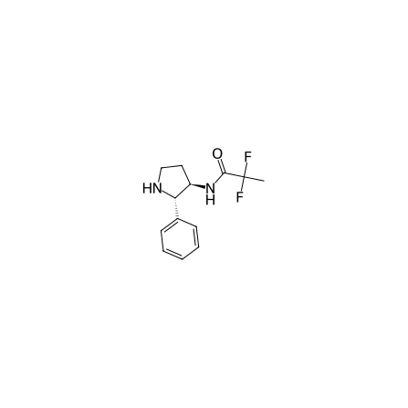 CC(F)(F)C(=O)N[C@@H]1CCN[C@H]1c1ccccc1